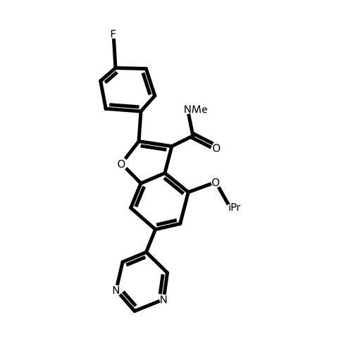 CNC(=O)c1c(-c2ccc(F)cc2)oc2cc(-c3cncnc3)cc(OC(C)C)c12